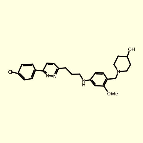 COc1cc(NCCCc2ccc(-c3ccc(Cl)cc3)nn2)ccc1CN1CCC(O)CC1